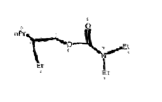 CCCC(CC)COC(=O)N(CC)CC